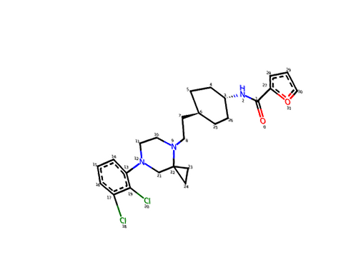 O=C(N[C@H]1CC[C@H](CCN2CCN(c3cccc(Cl)c3Cl)CC23CC3)CC1)c1ccco1